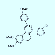 COc1ccc(/C=C/C2c3cc(OC)c(OC)cc3CCN2C(=O)c2cccc(Br)c2)cc1